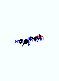 CC1(C)Oc2cc(-c3ccnc(Nc4ccc(N5CC6CC5CN6)c(C(F)(F)F)c4)n3)cnc2NC1=O